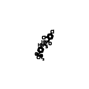 CS(=O)(=O)c1ccc(NC(=S)NC(=O)c2ccc(Cl)cc2Cl)cc1